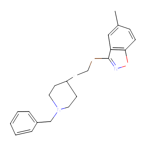 Cc1ccc2onc(SCCC3CCN(Cc4ccccc4)CC3)c2c1